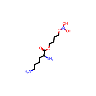 NCCCCC(N)C(=O)OCCCCON(O)O